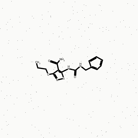 CCCOc1nsc(NC(=O)NCc2ccccc2)c1C(N)=O